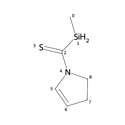 C[SiH2]C(=S)N1C=CCC1